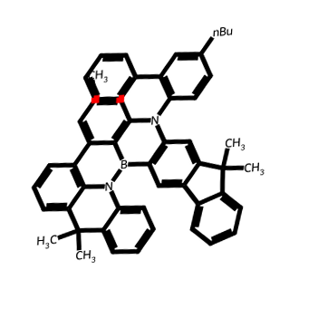 CCCCc1ccc(N2c3cc4c(cc3B3c5c(cc(C)cc52)-c2cccc5c2N3c2ccccc2C5(C)C)-c2ccccc2C4(C)C)c(-c2ccccc2)c1